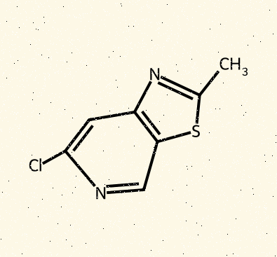 Cc1nc2cc(Cl)ncc2s1